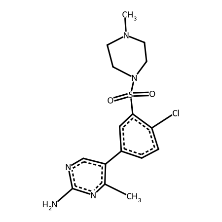 Cc1nc(N)ncc1-c1ccc(Cl)c(S(=O)(=O)N2CCN(C)CC2)c1